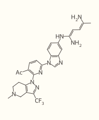 CC(=O)c1ccc(-n2cnc3cc(N/C(N)=C/C=C(/C)N)ccc32)nc1-n1nc(C(F)(F)F)c2c1CCN(C)C2